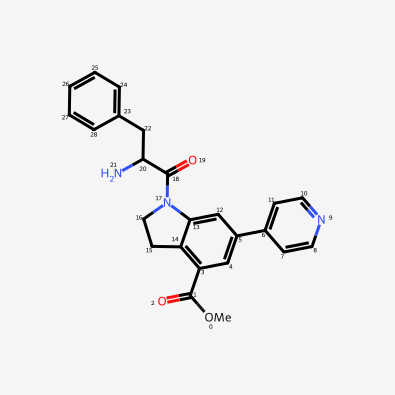 COC(=O)c1cc(-c2ccncc2)cc2c1CCN2C(=O)C(N)Cc1ccccc1